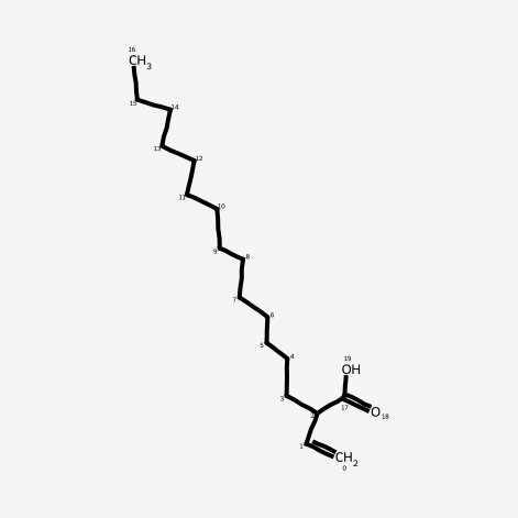 C=CC(CCCCCCCCCCCCCC)C(=O)O